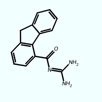 NC(N)=NC(=O)c1cccc2c1-c1ccccc1C2